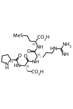 CSCC[C@H](NC(=O)[C@H](CCCNC(=N)N)NC(=O)[C@H](CC(=O)O)NC(=O)[C@@H]1CCCN1)C(=O)O